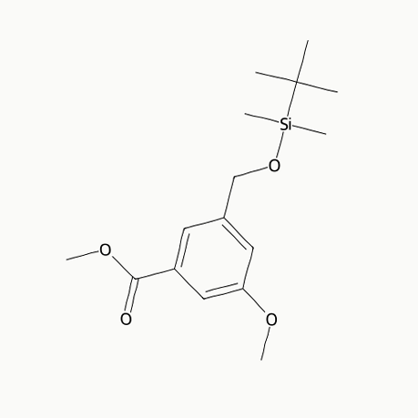 COC(=O)c1cc(CO[Si](C)(C)C(C)(C)C)cc(OC)c1